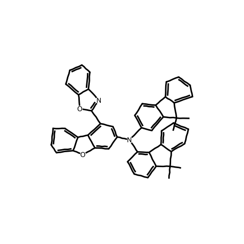 CC1(C)c2ccccc2-c2ccc(N(c3cc(-c4nc5ccccc5o4)c4c(c3)oc3ccccc34)c3cccc4c3-c3ccccc3C4(C)C)cc21